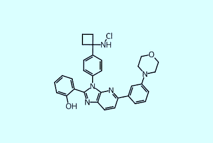 Oc1ccccc1-c1nc2ccc(-c3cccc(N4CCOCC4)c3)nc2n1-c1ccc(C2(NCl)CCC2)cc1